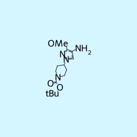 COc1nn(C2CCN(C(=O)OC(C)(C)C)CC2)cc1N